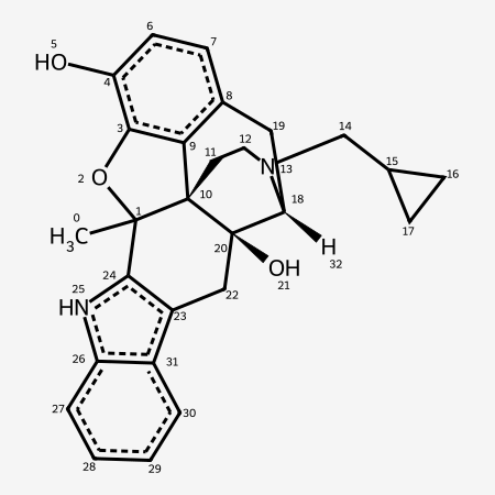 CC12Oc3c(O)ccc4c3[C@@]13CCN(CC1CC1)[C@H](C4)[C@]3(O)Cc1c2[nH]c2ccccc12